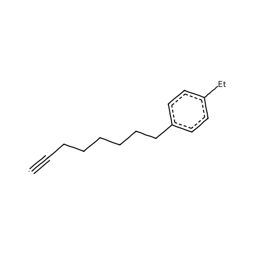 [C]#CCCCCCCc1ccc(CC)cc1